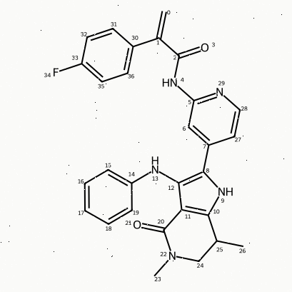 C=C(C(=O)Nc1cc(-c2[nH]c3c(c2Nc2ccccc2)C(=O)N(C)CC3C)ccn1)c1ccc(F)cc1